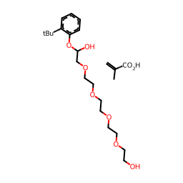 C=C(C)C(=O)O.CC(C)(C)c1ccccc1OC(O)COCCOCCOCCOCCO